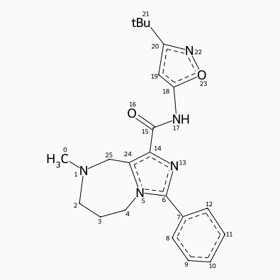 CN1CCCn2c(-c3ccccc3)nc(C(=O)Nc3cc(C(C)(C)C)no3)c2C1